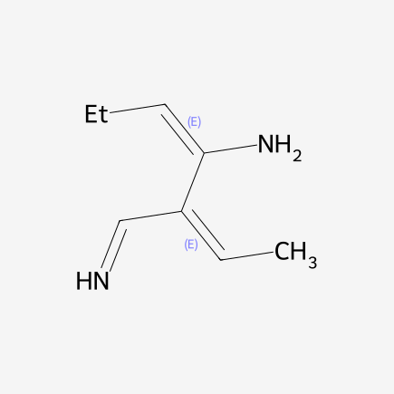 C/C=C(C=N)\C(N)=C/CC